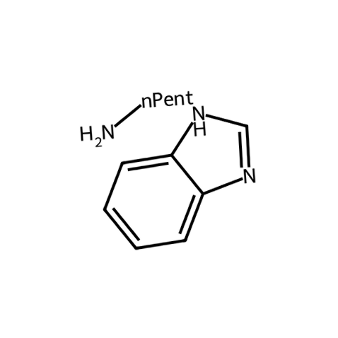 CCCCCN.c1ccc2[nH]cnc2c1